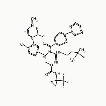 C=N/C=N\N(c1cc([C@@H](COC(=O)NC2(C(F)(F)F)CC2)N(C(=N)NCCC(C)(C)F)C(=O)c2ccc(-c3cnccn3)cc2)ccc1Cl)C(F)F